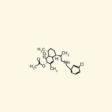 CC(=O)O[C@@H]1[CH][C@@]2(O)[C@H](C)CC[C@@H](C(C)CNCc3cccc(Cl)c3)[C@H]2C=C1C